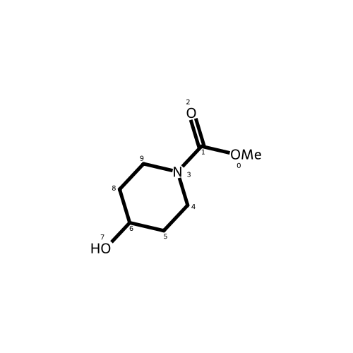 [CH2]OC(=O)N1CCC(O)CC1